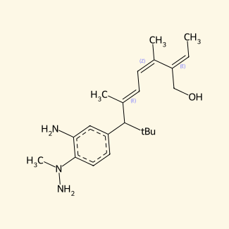 C\C=C(CO)/C(C)=C\C=C(/C)C(c1ccc(N(C)N)c(N)c1)C(C)(C)C